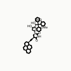 COc1ccccc1C(c1ccccc1)(c1ccccc1OC)C(O)[C@H]1O[C@@H](n2cc(C#Cc3ccc4ccc5cccc6ccc3c4c56)c(=O)[nH]c2=O)C[C@@H]1O